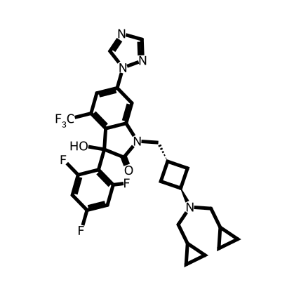 O=C1N(C[C@H]2C[C@H](N(CC3CC3)CC3CC3)C2)c2cc(-n3cncn3)cc(C(F)(F)F)c2C1(O)c1c(F)cc(F)cc1F